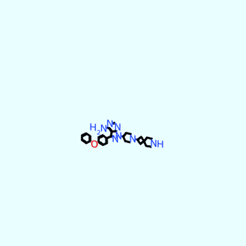 Nc1ncnc2c1c(-c1ccc(Oc3ccccc3)cc1)nn2C1CCN(C2CC3(CCNCC3)C2)CC1